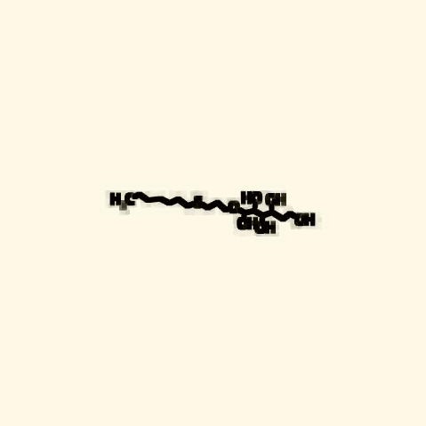 CCCCCCCSCCCO[C@H](O)[C@@H](O)C(O)[C@@H](O)CCO